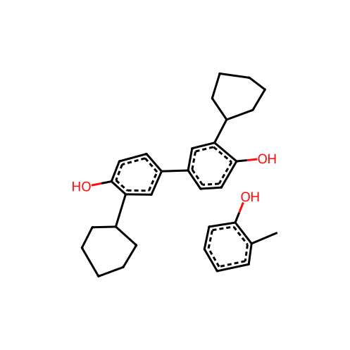 Cc1ccccc1O.Oc1ccc(-c2ccc(O)c(C3CCCCC3)c2)cc1C1CCCCC1